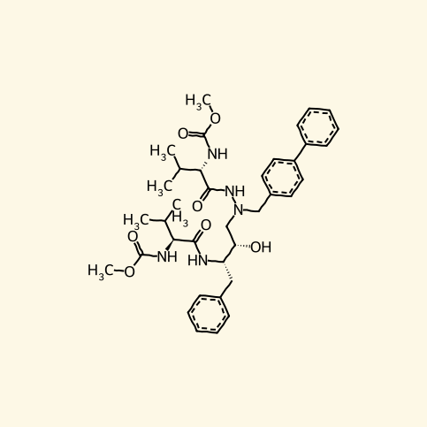 COC(=O)N[C@H](C(=O)N[C@@H](Cc1ccccc1)[C@@H](O)CN(Cc1ccc(-c2ccccc2)cc1)NC(=O)[C@@H](NC(=O)OC)C(C)C)C(C)C